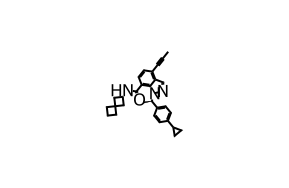 CC#Cc1ccc(C(=O)NC2CC3(CCC3)C2)c2c1cnn2[C@H](C)c1ccc(C2CC2)cc1